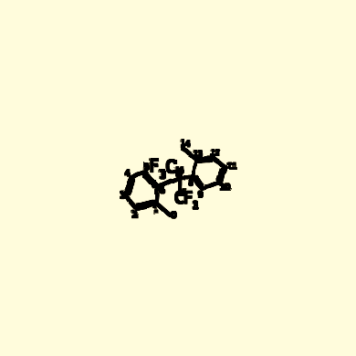 Cc1ccccc1C(c1ccccc1C)(C(F)(F)F)C(F)(F)F